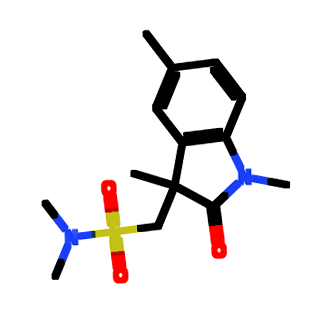 Cc1ccc2c(c1)C(C)(CS(=O)(=O)N(C)C)C(=O)N2C